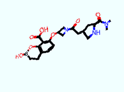 CN(C)C(=O)C1CC(CC(=O)N2CC(Oc3ccc4c(c3C(=O)O)OB(O)CC4)C2)CN1